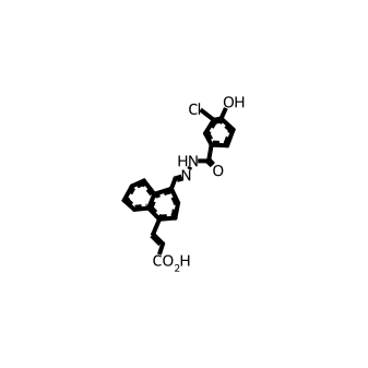 O=C(O)/C=C/c1ccc(/C=N/NC(=O)c2ccc(O)c(Cl)c2)c2ccccc12